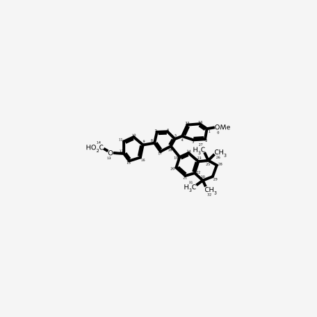 COc1ccc(-c2ccc(-c3ccc(OC(=O)O)cc3)cc2-c2ccc3c(c2)C(C)(C)CCC3(C)C)cc1